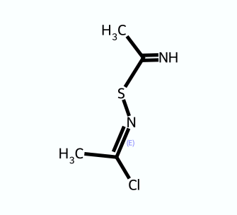 CC(=N)S/N=C(\C)Cl